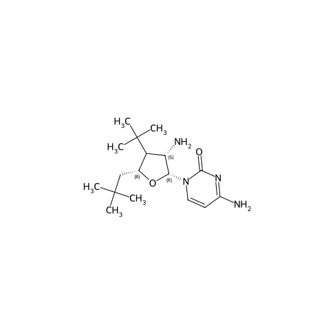 CC(C)(C)C[C@H]1O[C@@H](n2ccc(N)nc2=O)[C@@H](N)C1C(C)(C)C